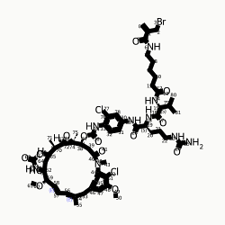 C=C(CBr)C(=O)NCCCCCC(=O)N[C@H](C(=O)N[C@@H](CCCNC(N)=O)C(=O)Nc1ccc(NC(=O)O[C@H]2CC(=O)N(C)c3cc(cc(OC)c3Cl)C/C(C)=C/C=C/[C@@H](OC)[C@@]3(O)C[C@H](OC(=O)N3)[C@@H](C)[C@@H]3O[C@@]23C)c(Cl)c1)C(C)C